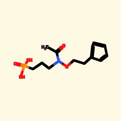 CC(=O)N(CCCP(=O)(O)O)OCCc1ccccc1